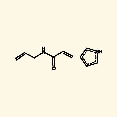 C=CCNC(=O)C=C.c1cc[nH]c1